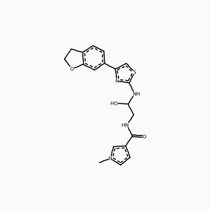 Cn1ccc(C(=O)NCC(O)Nc2nc(-c3ccc4c(c3)OCC4)cs2)c1